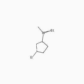 CCC1CCC(N(C)CC)C1